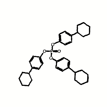 O=P(Oc1ccc(C2CCCCC2)cc1)(Oc1ccc(C2CCCCC2)cc1)Oc1ccc(C2CCCCC2)cc1